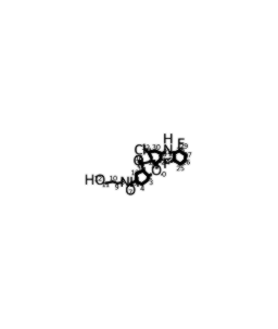 COc1ccc(C(=O)NCCCO)cc1C(=O)c1ccc(Nc2c(F)cccc2F)cc1Cl